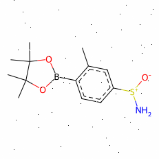 Cc1cc([S+](N)[O-])ccc1B1OC(C)(C)C(C)(C)O1